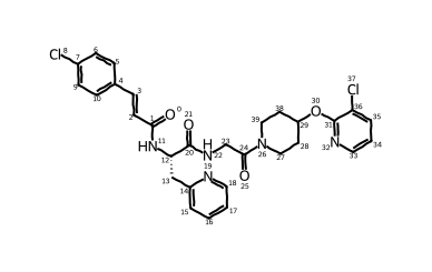 O=C(C=Cc1ccc(Cl)cc1)N[C@@H](Cc1ccccn1)C(=O)NCC(=O)N1CCC(Oc2ncccc2Cl)CC1